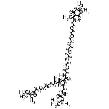 CC(NCCOCCOCCOCCOCCOCCOCCNC(=O)[C@H](CCCCNC(=O)OC(C)(C)C)NC(=O)NCCOCCOCCC(=O)OC(C)(C)C)=C1C(=O)CC(C)(C)CC1=O